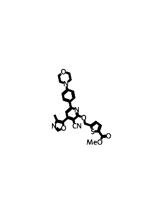 COC(=O)c1ccc(COc2nc(-c3ccc(N4CCOCC4)cc3)cc(-c3ocnc3C)c2C#N)s1